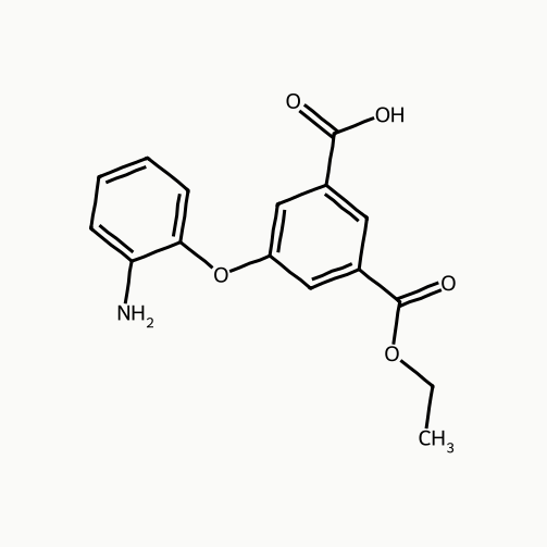 CCOC(=O)c1cc(Oc2ccccc2N)cc(C(=O)O)c1